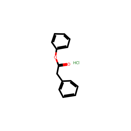 Cl.O=C(Cc1ccccc1)Oc1ccccc1